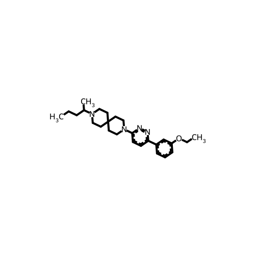 CCCC(C)N1CCC2(CCN(c3ccc(-c4cccc(OCC)c4)nn3)CC2)CC1